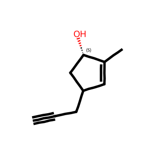 C#CCC1C=C(C)[C@@H](O)C1